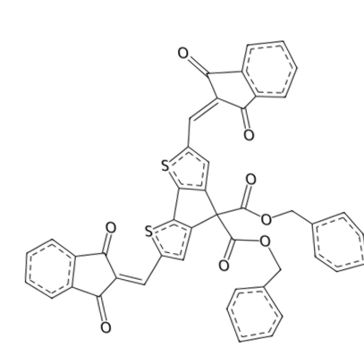 O=C1C(=Cc2cc3c(s2)-c2sc(C=C4C(=O)c5ccccc5C4=O)cc2C3(C(=O)OCc2ccccc2)C(=O)OCc2ccccc2)C(=O)c2ccccc21